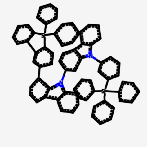 c1ccc([Si](c2ccccc2)(c2ccccc2)c2cccc(-n3c4ccccc4c4ccc(-n5c6ccccc6c6cccc(-c7ccc8c(c7)-c7ccccc7[Si]8(c7ccccc7)c7ccccc7)c65)cc43)c2)cc1